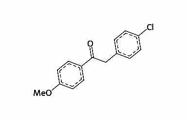 COc1ccc(C(=O)Cc2ccc(Cl)cc2)cc1